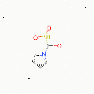 O=C(n1cccc1)[SH](=O)=O